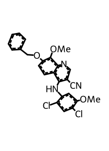 COc1cc(Nc2c(C#N)cnc3c(OC)c(OCc4ccccc4)ccc23)c(Cl)cc1Cl